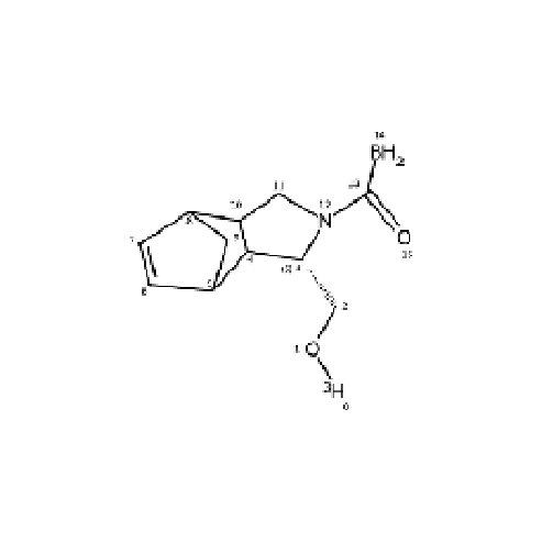 [3H]OC[C@@H]1C2C3C=CC(C3)C2CN1C(B)=O